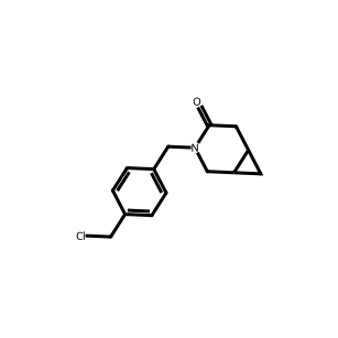 O=C1CC2CC2CN1Cc1ccc(CCl)cc1